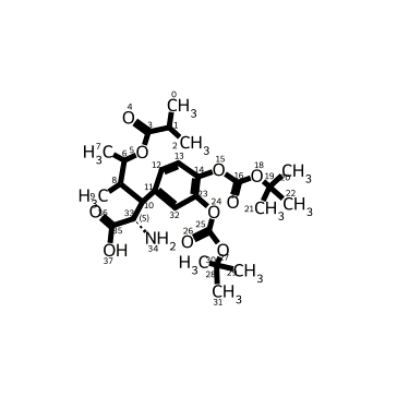 CC(C)C(=O)OC(C)C(C)C(c1ccc(OC(=O)OC(C)(C)C)c(OC(=O)OC(C)(C)C)c1)[C@H](N)C(=O)O